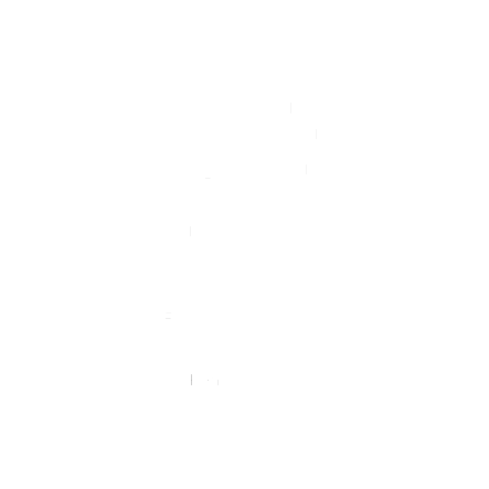 CCCCCc1cc(F)c(C#CC2=CCC(c3cc(F)c(C(F)(F)Oc4cc(F)c(F)c(F)c4)c(F)c3)C(F)=C2)c(F)c1